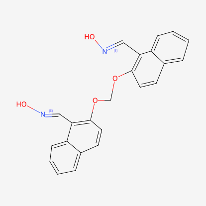 O/N=C/c1c(OCOc2ccc3ccccc3c2/C=N/O)ccc2ccccc12